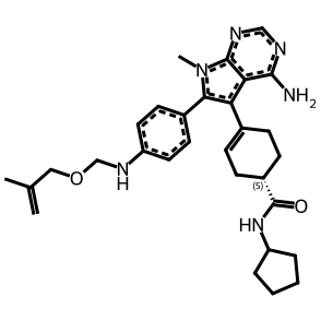 C=C(C)COCNc1ccc(-c2c(C3=CC[C@@H](C(=O)NC4CCCC4)CC3)c3c(N)ncnc3n2C)cc1